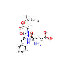 CC(C)C[C@H](NC(=O)[C@H](Cc1ccccc1)NC(=O)[C@@H](N)CCC(=O)O)C(=O)O